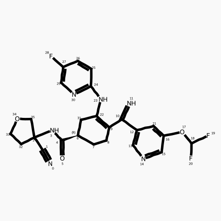 N#CC1(NC(=O)[C@@H]2CCC(C(=N)c3cncc(OC(F)F)c3)=C(Nc3ccc(F)cn3)C2)CCOC1